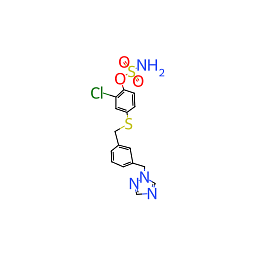 NS(=O)(=O)Oc1ccc(SCc2cccc(Cn3cncn3)c2)cc1Cl